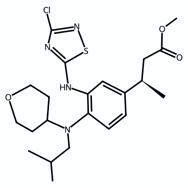 COC(=O)C[C@@H](C)c1ccc(N(CC(C)C)C2CCOCC2)c(Nc2nc(Cl)ns2)c1